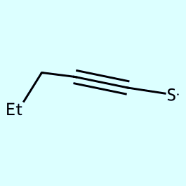 [CH2]CCC#C[S]